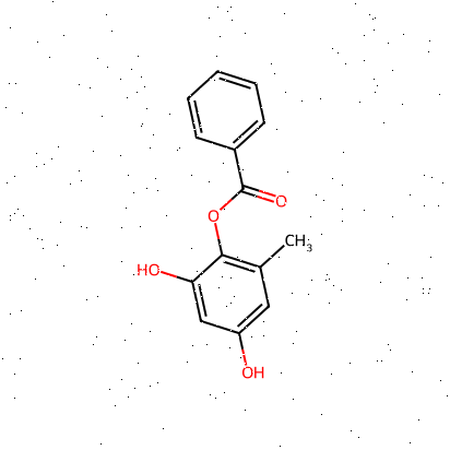 Cc1cc(O)cc(O)c1OC(=O)c1ccccc1